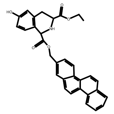 CCOC(=O)C1Cc2cc(O)ccc2C(C(=O)OCc2ccc3c(ccc4c5ccccc5ccc34)c2)N1